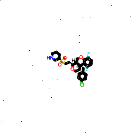 O=S(=O)(CC[C@@H]1OCC[C@@]2(Cc3ccc(Cl)cc3)c3c(F)ccc(F)c3OC[C@@H]12)[C@@H]1CCCNC1